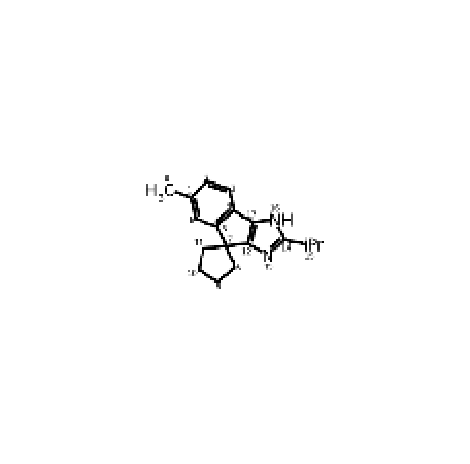 Cc1ccc2c(c1)C1(CCCC1)c1nc(C(C)C)[nH]c1-2